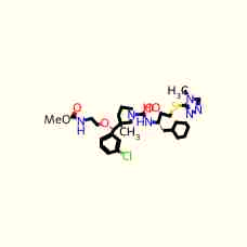 COC(=O)NCCO[C@@H](c1cccc(Cl)c1)[C@]1(C)CCCN(C(=O)N[C@@H](CC2CCCCC2)[C@@H](O)CSc2nncn2C)C1